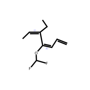 C=C/C=C(OC(F)F)\C(=C/C)CC